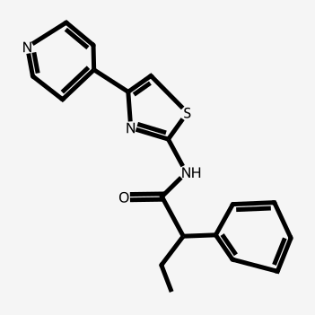 CCC(C(=O)Nc1nc(-c2ccncc2)cs1)c1ccccc1